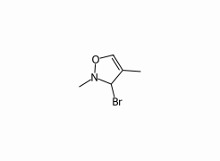 CC1=CON(C)C1Br